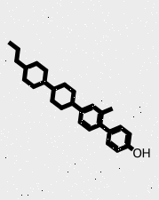 CCCC1CCC(C2CCC(c3ccc(-c4ccc(O)cc4)c(C)c3)CC2)CC1